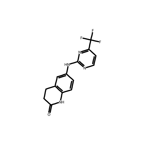 O=C1CCc2cc(Nc3nccc(C(F)(F)F)n3)ccc2N1